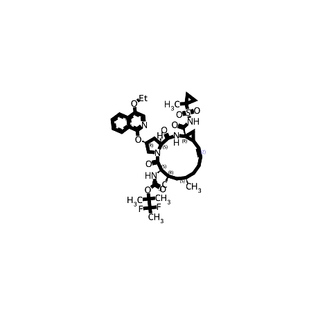 CCOc1cnc(O[C@@H]2C[C@H]3C(=O)N[C@]4(C(=O)NS(=O)(=O)C5(C)CC5)CC4/C=C\CC[C@H](C)C[C@@H](C)[C@H](NC(=O)OC(C)(C)C(C)(F)F)C(=O)N3C2)c2ccccc12